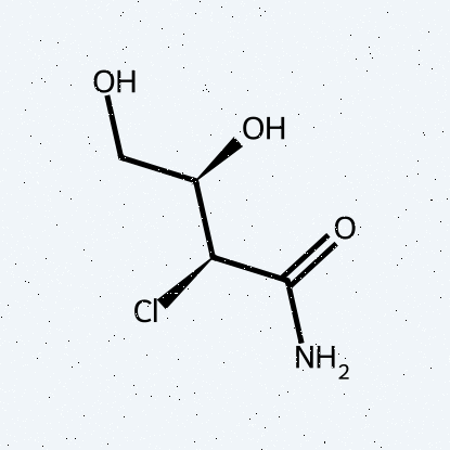 NC(=O)[C@@H](Cl)[C@H](O)CO